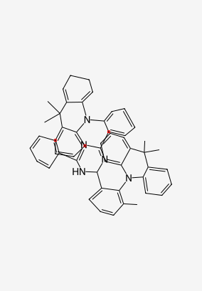 Cc1cccc(C2N=C(c3ccccc3N3C4=CCCC=C4C(C)(C)c4ccccc43)N=C(c3ccccc3)N2)c1N1c2ccccc2C(C)(C)c2ccccc21